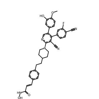 COc1ccc(-c2cnc(N3CCC(CCc4ccc(/C=C/C(=O)NO)cc4)CC3)c(C#N)c2-c2ccc(C#N)c(F)c2)cc1O